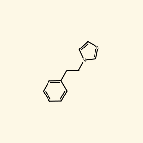 [CH](Cc1ccccc1)n1ccnc1